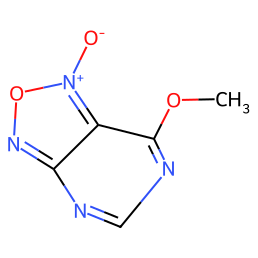 COc1ncnc2no[n+]([O-])c12